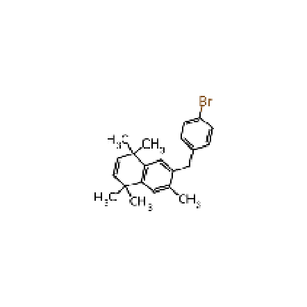 Cc1cc2c(cc1Cc1ccc(Br)cc1)C(C)(C)C=CC2(C)C